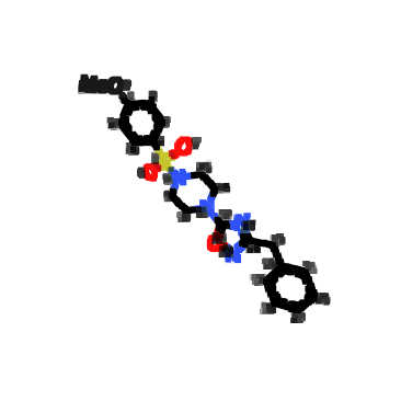 COc1ccc(S(=O)(=O)N2CCN(c3nc(Cc4ccccc4)no3)CC2)cc1